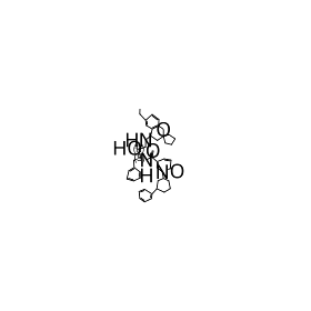 CCc1ccc2c(c1)C(NC[C@@H](O)[C@H](Cc1ccccc1)NC(=O)c1ccc(=O)n(C3CCCC(c4ccccc4)C3)c1)CC1(CCCC1)O2